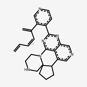 C=C/C=C\C(=C)c1cnccc1-c1nc(N2CCNCC2)c2c(C3CCCC3)cncc2n1